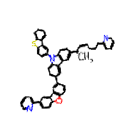 C=C(/C=C\C=C/Cc1ccccn1)c1ccc2c(c1)c1cc(-c3ccc4oc5ccc(-c6ccccn6)cc5c4c3)ccc1n2-c1ccc2sc3ccccc3c2c1